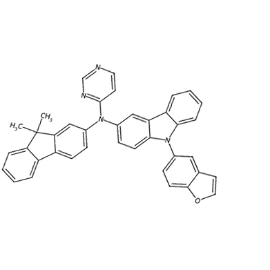 CC1(C)c2ccccc2-c2ccc(N(c3ccc4c(c3)c3ccccc3n4-c3ccc4occc4c3)c3ccncn3)cc21